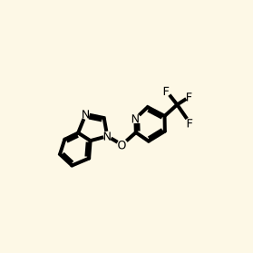 FC(F)(F)c1ccc(On2cnc3ccccc32)nc1